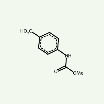 COC(=O)Nc1ccc(C(=O)O)cc1